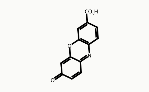 O=C(O)c1ccc2nc3ccc(=O)cc-3oc2c1